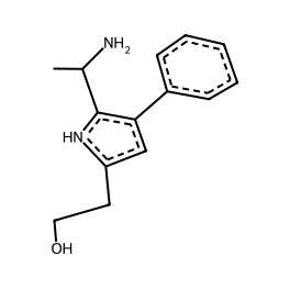 CC(N)c1[nH]c(CCO)cc1-c1ccccc1